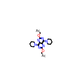 CC(=O)COc1nc(N2CCCCC2)c2nc(OCC(C)=O)nc(N3CCCCC3)c2n1